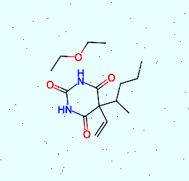 C=CC1(C(C)CCC)C(=O)NC(=O)NC1=O.CCOCC